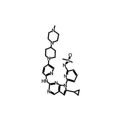 CN1CCN(C2CCN(c3ccc(Nc4ncc5cc(C6CC6)n(-c6cccc(N=S(C)(C)=O)n6)c5n4)nc3)CC2)CC1